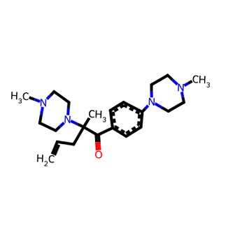 C=CCC(C)(C(=O)c1ccc(N2CCN(C)CC2)cc1)N1CCN(C)CC1